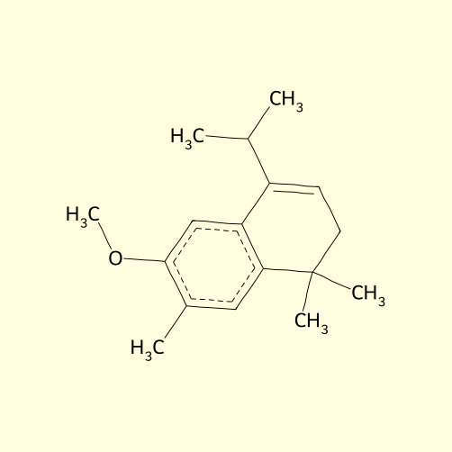 COc1cc2c(cc1C)C(C)(C)CC=C2C(C)C